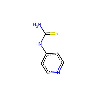 NC(=S)Nc1ccncc1